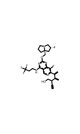 C#CC(CO)C(=C)C(=C)c1ncc2c(NCCC(F)(F)F)nc(OC[C@@]34CCCN3C[C@H](F)C4)nc2c1F